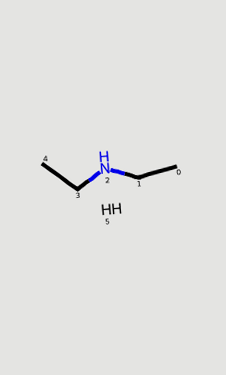 CCNCC.[HH]